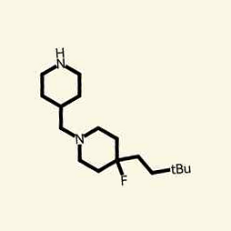 CC(C)(C)CCC1(F)CCN(CC2CCNCC2)CC1